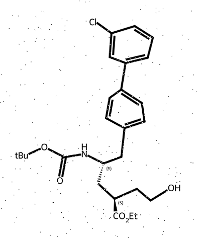 CCOC(=O)[C@H](CCO)C[C@@H](Cc1ccc(-c2cccc(Cl)c2)cc1)NC(=O)OC(C)(C)C